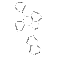 c1ccc(N2c3ccccc3-n3c(-c4ccc5ccccc5c4)nc4cccc2c43)cc1